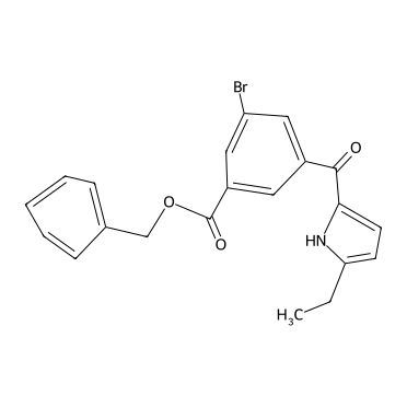 CCc1ccc(C(=O)c2cc(Br)cc(C(=O)OCc3ccccc3)c2)[nH]1